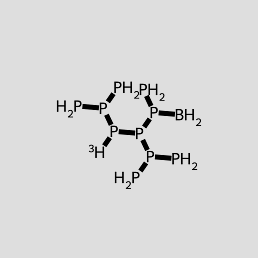 [3H]P(P(P)P)P(P(B)P)P(P)P